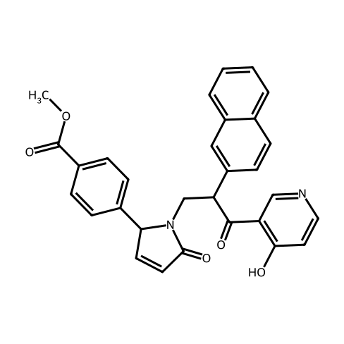 COC(=O)c1ccc(C2C=CC(=O)N2CC(C(=O)c2cnccc2O)c2ccc3ccccc3c2)cc1